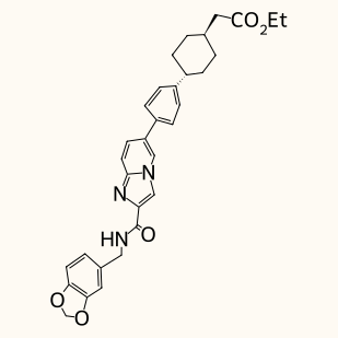 CCOC(=O)C[C@H]1CC[C@H](c2ccc(-c3ccc4nc(C(=O)NCc5ccc6c(c5)OCO6)cn4c3)cc2)CC1